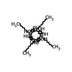 CCCCCCCCCCCC1c2cc(c(O)cc2O)C(CCCCCCCCCCC)c2cc(c(O)cc2O)C(CCCCCCCCCCC)c2cc(c(O)cc2O)C(CCCCCCCCCCC)c2cc1c(O)cc2O